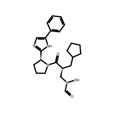 O=CN(O)C[C@H](CC1CCCC1)C(=O)N1CCC[C@H]1c1ncc(-c2ccccc2)[nH]1